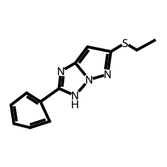 CCSc1cc2nc(-c3ccccc3)[nH]n2n1